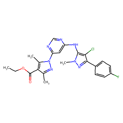 CCOC(=O)c1c(C)nn(-c2cc(Nc3c(Cl)c(-c4ccc(F)cc4)nn3C)ncn2)c1C